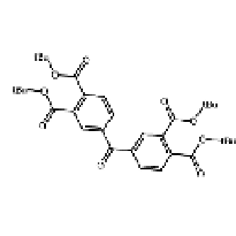 CC(C)(C)OC(=O)c1ccc(C(=O)c2ccc(C(=O)OC(C)(C)C)c(C(=O)OC(C)(C)C)c2)cc1C(=O)OC(C)(C)C